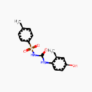 Cc1ccc(S(=O)(=O)NC(=O)Nc2ccc(O)cc2C)cc1